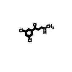 CNCCC(=O)c1cc(Cl)cc(Cl)c1